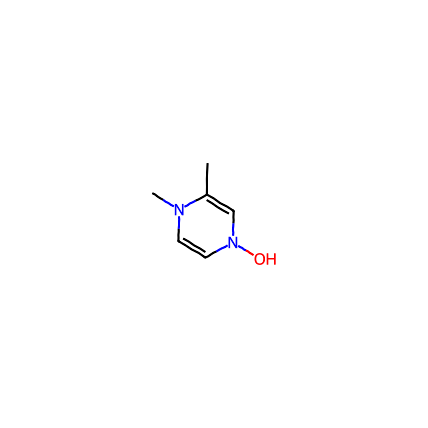 CC1=CN(O)C=CN1C